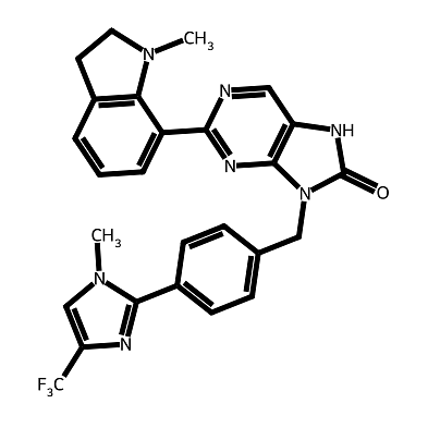 CN1CCc2cccc(-c3ncc4[nH]c(=O)n(Cc5ccc(-c6nc(C(F)(F)F)cn6C)cc5)c4n3)c21